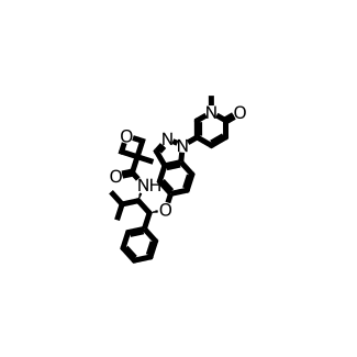 CC(C)[C@H](NC(=O)C1(C)COC1)[C@H](Oc1ccc2c(cnn2-c2ccc(=O)n(C)c2)c1)c1ccccc1